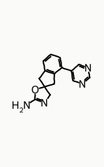 NC1=NCC2(Cc3cccc(-c4cncnc4)c3C2)O1